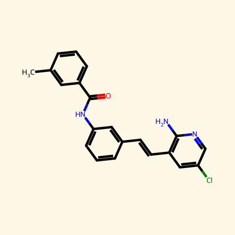 Cc1cccc(C(=O)Nc2cccc(C=Cc3cc(Cl)cnc3N)c2)c1